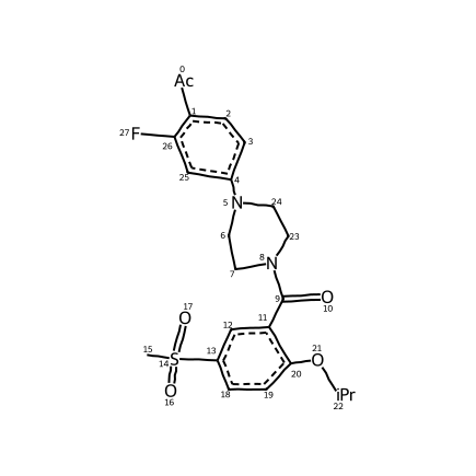 CC(=O)c1ccc(N2CCN(C(=O)c3cc(S(C)(=O)=O)ccc3OC(C)C)CC2)cc1F